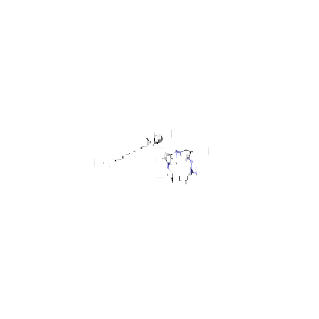 C/N=C/C=c1\[nH]/c(=C(/C)C2=N/C(=C\CNC)[C@@H](C)[C@@H]2CCC(=O)N(C)CCOCCOCCOC)cc1C